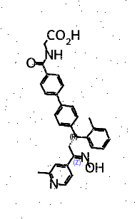 Cc1cc(/C(C[C@H](c2ccc(-c3ccc(C(=O)NCC(=O)O)cc3)cc2)c2ccccc2C)=N\O)ccn1